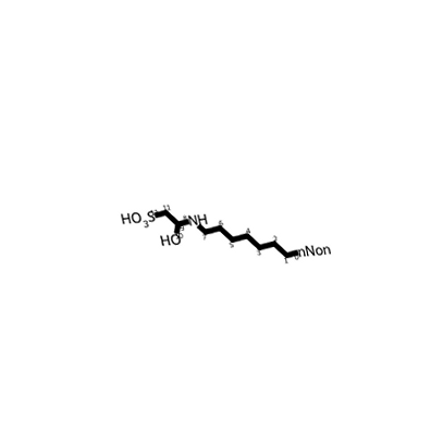 CCCCCCCCCCCCCCCCNC(O)CS(=O)(=O)O